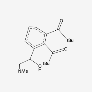 CNCC(O)c1cccc(C(=O)C(C)(C)C)c1C(=O)C(C)(C)C